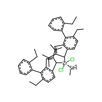 CCc1ccccc1-c1c(CC)ccc2c1C=C(C(C)C)[CH]2[Zr]([Cl])([Cl])([CH]1C(C(C)C)=Cc2c1ccc(CC)c2-c1ccccc1CC)[SiH](C)C